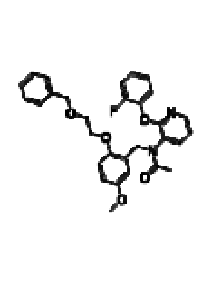 COc1ccc(OCCOCc2ccccc2)c(CN(C(C)=O)c2cccnc2Oc2ccccc2F)c1